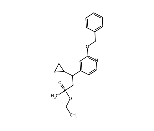 CCOP(C)(=O)CC(c1ccnc(OCc2ccccc2)c1)C1CC1